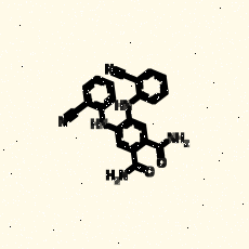 N#Cc1ccccc1Nc1cc(C(N)=O)c(C(N)=O)cc1Nc1ccccc1C#N